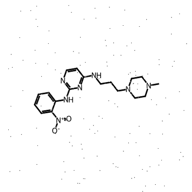 CN1CCN(CCCNc2ccnc(Nc3ccccc3[N+](=O)[O-])n2)CC1